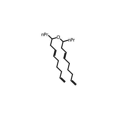 C=CCCCC=CCC(CCC)OC(CC=CCCCC=C)CCC